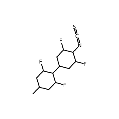 CC1CC(F)C(C2CC(F)C(N=C=S)C(F)C2)C(F)C1